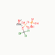 CO.O=P(O)(O)OP(=O)(O)OC(Cl)(Cl)Cl.[CaH2]